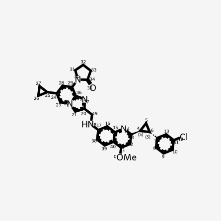 COc1cc([C@H]2C[C@@H]2c2cccc(Cl)c2)nc2cc(NCc3cn4cc(C5CC5)cc(N5CCCC5=O)c4n3)ccc12